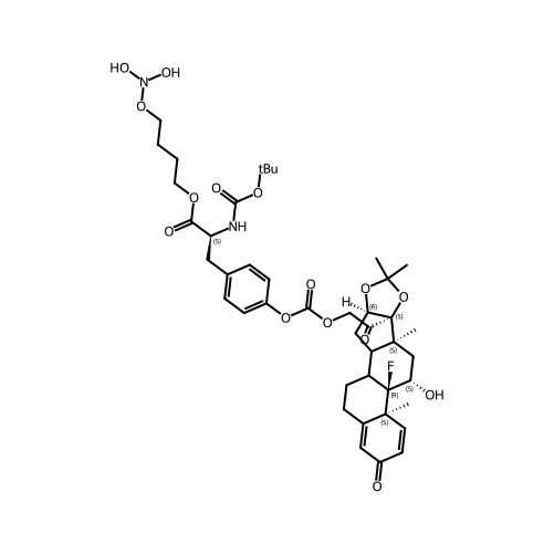 CC(C)(C)OC(=O)N[C@@H](Cc1ccc(OC(=O)OCC(=O)[C@@]23OC(C)(C)O[C@@H]2CC2C4CCC5=CC(=O)C=C[C@]5(C)[C@@]4(F)[C@@H](O)C[C@@]23C)cc1)C(=O)OCCCCON(O)O